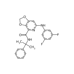 CC(C)(NC(=O)c1nc(Nc2cc(F)cc(F)c2)cc2c1OCO2)c1ccccc1